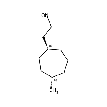 C[C@H]1CCC[C@H](CCN=O)CC1